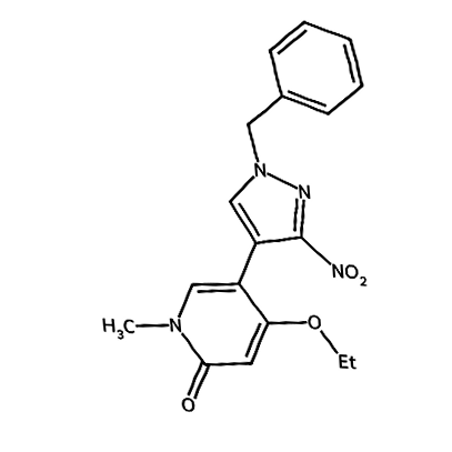 CCOc1cc(=O)n(C)cc1-c1cn(Cc2ccccc2)nc1[N+](=O)[O-]